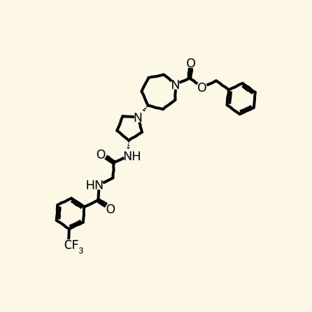 O=C(CNC(=O)c1cccc(C(F)(F)F)c1)N[C@@H]1CCN([C@@H]2CCCN(C(=O)OCc3ccccc3)CC2)C1